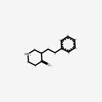 O=C1CCNCC1CCc1ccccc1